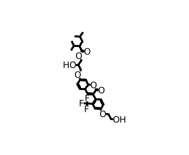 CC(C)CC(C(=O)OCC(O)COC1=CC2OC(=O)C(c3ccc(OCCO)cc3C(F)(F)F)=CC2C=C1)C(C)C